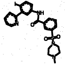 CN1CCN(S(=O)(=O)c2cccc(C(=O)Nc3ccc(I)c(-c4ccccn4)c3)c2)CC1